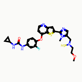 COCCN(S)Cc1cnc(-c2cc3nccc(Oc4ccc(NC(=O)NC5CC5)cc4F)c3s2)n1C